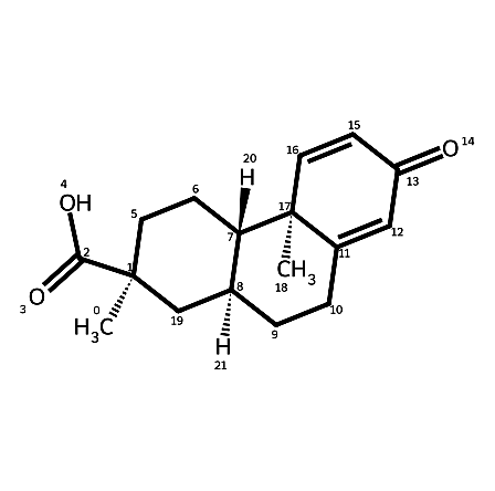 C[C@]1(C(=O)O)CC[C@H]2[C@@H](CCC3=CC(=O)C=C[C@@]32C)C1